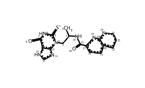 CC(Cn1c(=S)[nH]c(=O)c2[nH]cnc21)NC(=O)c1ccc2cccnc2n1